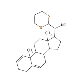 CC12C=CCCC1=CCC1C2CCC2(C)C1CCC2C(N=O)C1SCCCS1